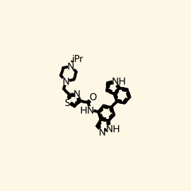 CC(C)N1CCN(Cc2nc(C(=O)Nc3cc(-c4cccc5[nH]ccc45)cc4[nH]ncc34)cs2)CC1